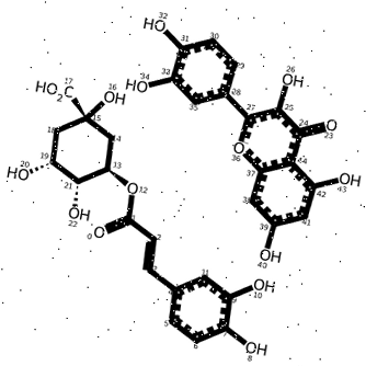 O=C(/C=C/c1ccc(O)c(O)c1)O[C@@H]1C[C@](O)(C(=O)O)C[C@@H](O)[C@H]1O.O=c1c(O)c(-c2ccc(O)c(O)c2)oc2cc(O)cc(O)c12